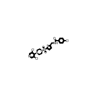 O=C(NCc1ccc(S(=O)(=O)N2CCN(c3c(Cl)cncc3Cl)CC2)s1)c1ccc(Cl)cc1